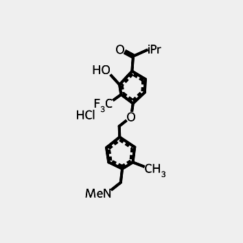 CNCc1ccc(COc2ccc(C(=O)C(C)C)c(O)c2C(F)(F)F)cc1C.Cl